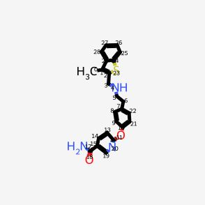 Cc1c(CNCCc2ccc(Oc3ccc(C(N)=O)cn3)cc2)sc2ccccc12